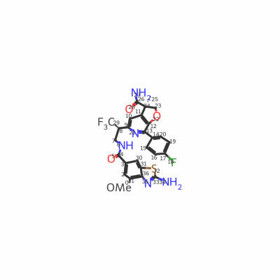 COc1cc(C(=O)NC[C@H](c2cc3c(c(-c4ccc(F)cc4)n2)OC[C@]3(C)C(N)=O)C(F)(F)F)cc2sc(N)nc12